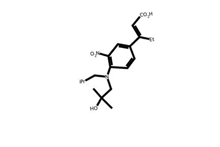 CCC(=CC(=O)O)c1ccc(N(CC(C)C)CC(C)(C)O)c([N+](=O)[O-])c1